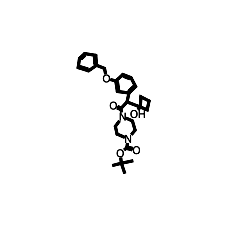 CC(C)(C)OC(=O)N1CCN(C(=O)C(c2cccc(OCc3ccccc3)c2)C2(O)CCC2)CC1